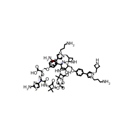 CC1(C)[C@H](NC(=O)/C(=N\O[C@@H](COc2ccc(-c3cn(CCCN)[n+](CC4CNC4)c3)cc2)C(=O)O)c2csc(N)n2)C(=O)N1OS(=O)(=O)ON1C(=O)[C@@H](NC(=O)/C(=N\O[C@@H](COc2ccc(-c3cn(CCCN)[n+](CC4CNC4)c3)cc2)C(=O)O)c2csc(N)n2)C1(C)C